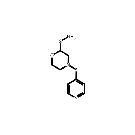 NSC1CN(Sc2ccncc2)CCO1